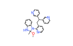 COC1(C)Nc2ccccc2N1c1ncccc1CC(c1cccnc1)c1cccnc1